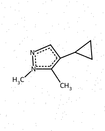 Cc1c(C2CC2)cnn1C